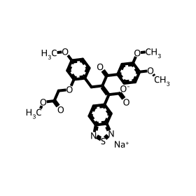 COC(=O)COc1cc(OC)ccc1CC(C(=O)c1ccc(OC)c(OC)c1)=C(C(=O)[O-])c1ccc2nsnc2c1.[Na+]